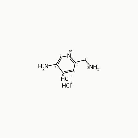 Cl.Cl.NCc1ccc(N)cn1